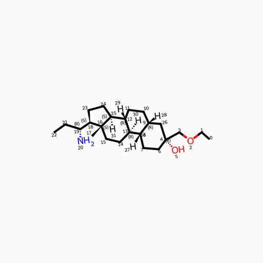 CCOC[C@@]1(O)CC[C@H]2[C@H](CC[C@@H]3[C@@H]2CC[C@]2(C)[C@@H]([C@H](N)CC)CC[C@@H]32)C1